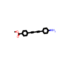 COC(=O)c1ccc(C#CC#Cc2ccc(N)cc2)cc1